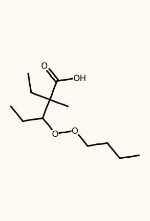 CCCCOOC(CC)C(C)(CC)C(=O)O